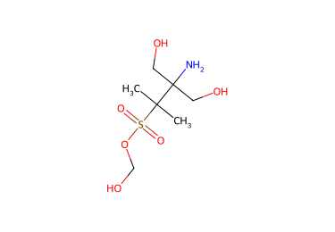 CC(C)(C(N)(CO)CO)S(=O)(=O)OCO